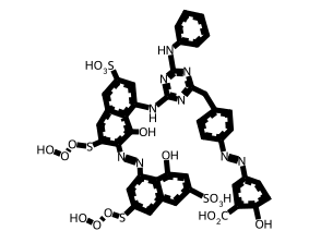 O=C(O)c1cc(/N=N/c2ccc(Cc3nc(Nc4ccccc4)nc(Nc4cc(S(=O)(=O)O)cc5cc(SOOO)c(/N=N/c6cc(SOOO)cc7cc(S(=O)(=O)O)cc(O)c67)c(O)c45)n3)cc2)ccc1O